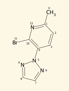 Cc1ccc(-n2nccn2)c(Br)n1